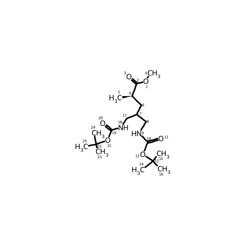 COC(=O)[C@H](C)CC(CNC(=O)OC(C)(C)C)CNC(=O)OC(C)(C)C